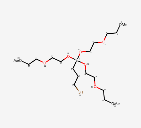 COCCOCCO[Si](CCCS)(OCCOCCOC)OCCOCCOC